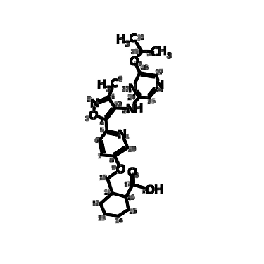 Cc1noc(-c2ccc(OCC3CCCCC3C(=O)O)cn2)c1Nc1cncc(OC(C)C)n1